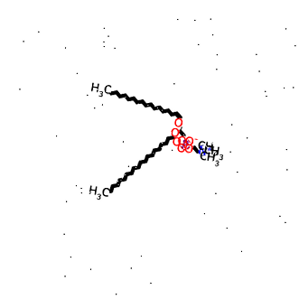 CCCCCCCCCCCCCCCC/C=C\OC[C@H](COP(=O)([O-])OCC[N+](C)(C)C)OC(=O)CCCCCCCCCCCCCCCCCCC